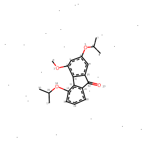 COc1cc(OC(C)C)cc2c1-c1c(OC(C)C)cccc1C2=O